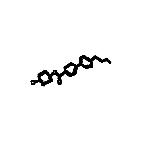 CCCCc1ccc(-c2ccc(C(=O)Oc3ccc(Cl)nc3)cc2)cc1